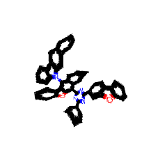 c1ccc(-c2nc(-c3ccc4c(c3)oc3ccccc34)nc(-c3c4ccccc4c(-n4c5ccccc5c5cc6ccccc6cc54)c4c3oc3ccccc34)n2)cc1